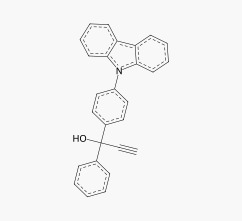 C#CC(O)(c1ccccc1)c1ccc(-n2c3ccccc3c3ccccc32)cc1